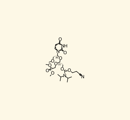 COC[C@@H](O[C@H](COP(OCCC#N)N(C(C)C)C(C)C)OCP(=O)(OC)OC)n1ccc(=O)[nH]c1=O